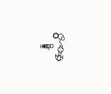 Cl.Cl.O.c1cnc(N2CCN(CCC3OCCc4ccccc43)CC2)nc1